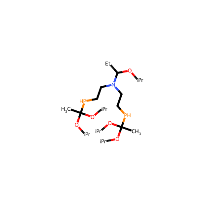 CCC(OC(C)C)N(CCPC(C)(OC(C)C)OC(C)C)CCPC(C)(OC(C)C)OC(C)C